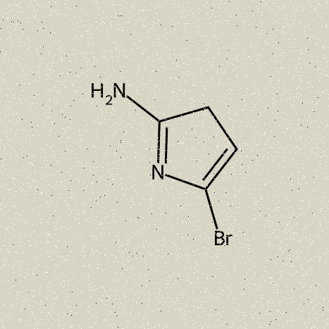 NC1=NC(Br)=CC1